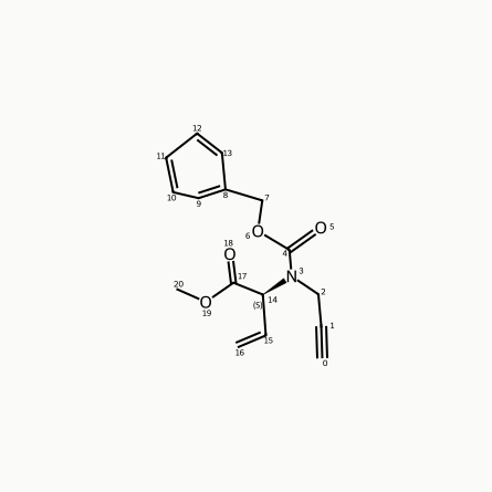 C#CCN(C(=O)OCc1ccccc1)[C@@H](C=C)C(=O)OC